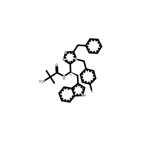 CC(C)(N)C(=O)N[C@H](Cc1c[nH]c2ccccc12)c1nnc(Cc2ccccc2)n1Cc1ccc(F)cc1